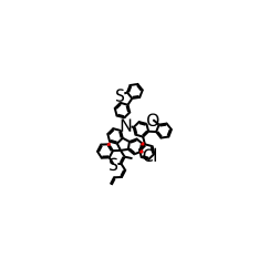 C=C/C=C\C1=C(C)C2(c3ccccc3S1)c1cc(Cl)ccc1-c1c(N(c3cc(-c4ccccc4)c4c(c3)oc3ccccc34)c3ccc4sc5ccccc5c4c3)cccc12